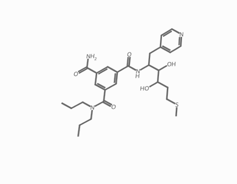 CCCN(CCC)C(=O)c1cc(C(N)=O)cc(C(=O)NC(Cc2ccncc2)C(O)C(O)CCSC)c1